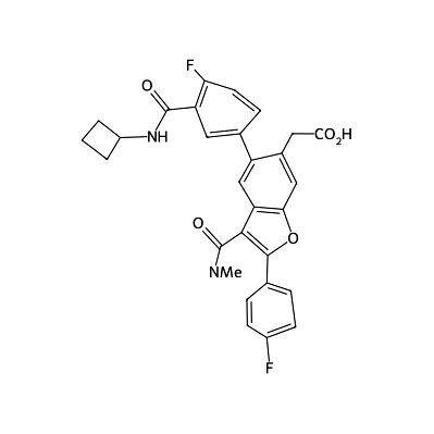 CNC(=O)c1c(-c2ccc(F)cc2)oc2cc(CC(=O)O)c(-c3ccc(F)c(C(=O)NC4CCC4)c3)cc12